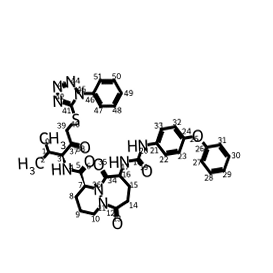 CC(C)[C@H](NC(=O)[C@@H]1CCCN2C(=O)CCC(NC(=O)Nc3ccc(Oc4ccccc4)cc3)C(=O)N12)C(=O)CSc1nnnn1-c1ccccc1